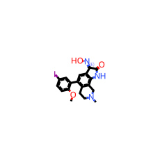 COc1ccc(I)cc1-c1cc2c(c3c1CCN(C)C3)NC(=O)/C2=N/O